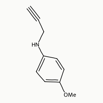 C#CCNc1ccc(OC)cc1